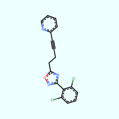 Clc1cccc(Cl)c1-c1noc(CCC#Cc2ccccn2)n1